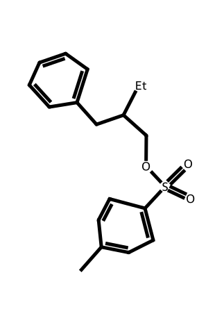 CCC(COS(=O)(=O)c1ccc(C)cc1)Cc1ccccc1